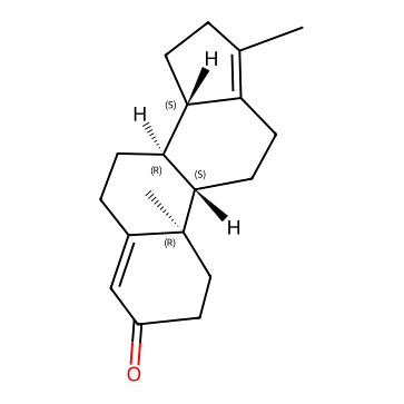 CC1=C2CC[C@H]3[C@@H](CCC4=CC(=O)CC[C@@]43C)[C@@H]2CC1